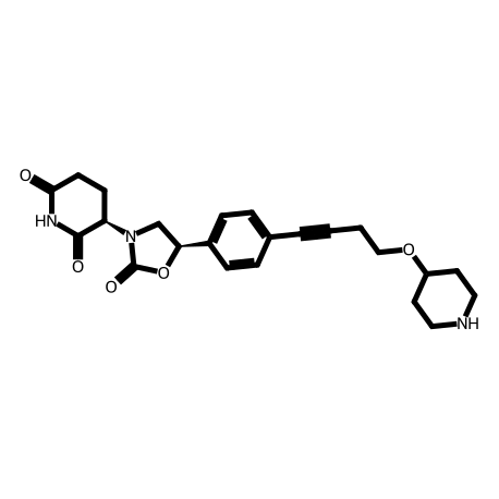 O=C1CC[C@@H](N2C[C@@H](c3ccc(C#CCCOC4CCNCC4)cc3)OC2=O)C(=O)N1